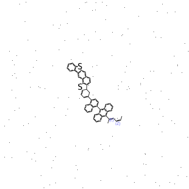 C/C=C\C=C(/C)c1c2ccccc2c(-c2ccc(C3=CC=C4Sc5c(ccc6cc7sc8ccccc8c7cc56)C4C3)c3ccccc23)c2ccccc12